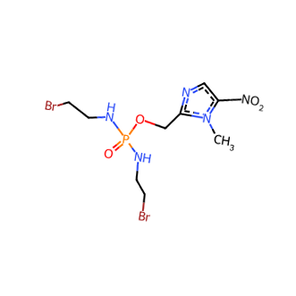 Cn1c([N+](=O)[O-])cnc1COP(=O)(NCCBr)NCCBr